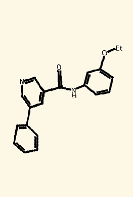 CCOc1cccc(NC(=O)c2cncc(-c3ccccc3)c2)c1